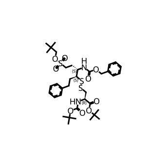 CC(C)(C)COS(=O)(=O)CC[C@H](NC(=O)OCc1ccccc1)[C@H](CCc1ccccc1)SSC[C@H](NC(=O)OC(C)(C)C)C(=O)OC(C)(C)C